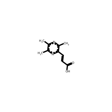 Cc1nc(C)c(/C=C/C(=O)O)nc1C